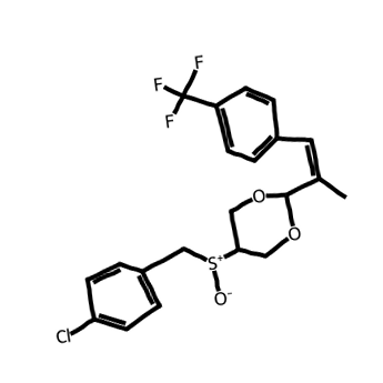 CC(=Cc1ccc(C(F)(F)F)cc1)C1OCC([S+]([O-])Cc2ccc(Cl)cc2)CO1